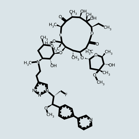 CC[C@H]1OC(=O)[C@H](C)[C@@H](O[C@H]2C[C@@](C)(OC)[C@@H](O)[C@H](C)O2)[C@H](C)[C@@H](O[C@@H]2O[C@H](C)C[C@H](N(C)CCc3cn([C@H](CF)[C@H](OC)c4ccc(-c5cccnc5)cc4)nn3)[C@H]2O)[C@](C)(OC)C[C@@H](C)C(=O)[C@H](C)[C@@H](O)[C@]1(C)O